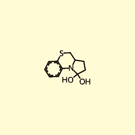 OC1(O)CCC2CSc3ccccc3N21